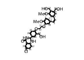 COc1ccc(/C=C\c2cc(CO)c(CO)c(OC)c2)cc1OCCOc1ccc(C2NC(=O)c3cc(Cl)ccc3N2)cc1CO